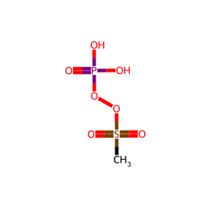 CS(=O)(=O)OOP(=O)(O)O